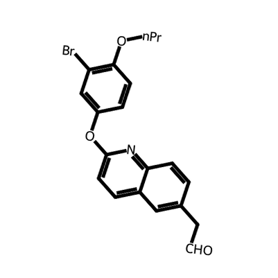 CCCOc1ccc(Oc2ccc3cc(CC=O)ccc3n2)cc1Br